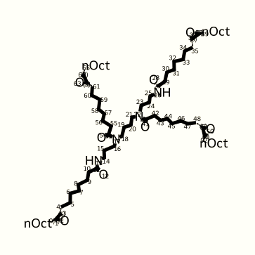 CCCCCCCC[C@H]1O[C@H]1CCCCCCCC(=O)NCCCN(CCCCN(CCCNC(=O)CCCCCCC[C@@H]1O[C@@H]1CCCCCCCC)C(=O)CCCCCCC[C@@H]1O[C@@H]1CCCCCCCC)C(=O)CCCCCCC[C@@H]1O[C@@H]1CCCCCCCC